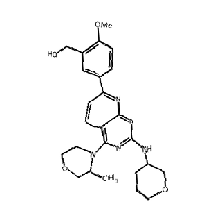 COc1ccc(-c2ccc3c(N4CCOCC4C)nc(NC4CCCOC4)nc3n2)cc1CO